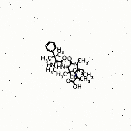 CC[C@@H](/C=C(\C)C(=O)O)N(C)C(=O)[C@@H](NC(=O)[C@@H](NC)C(C)(C)c1ccccc1)C(C)(C)C